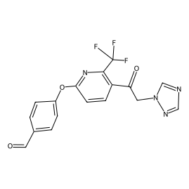 O=Cc1ccc(Oc2ccc(C(=O)Cn3cncn3)c(C(F)(F)F)n2)cc1